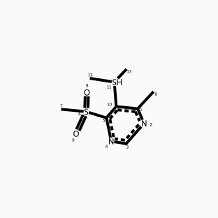 Cc1ncnc(S(C)(=O)=O)c1[SH](C)C